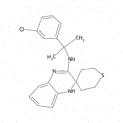 CC(C)(NC1=Nc2ccccc2NC12CCSCC2)c1cccc(Cl)c1